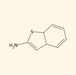 NC1=CC2C=CC=CC2S1